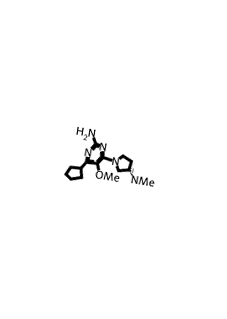 CN[C@H]1CCN(c2nc(N)nc(C3CCCC3)c2OC)C1